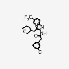 O=C(Cc1cccc(Cl)c1)Nc1nc2ccc(C(F)(F)F)cn2c1CC1CCCCC1